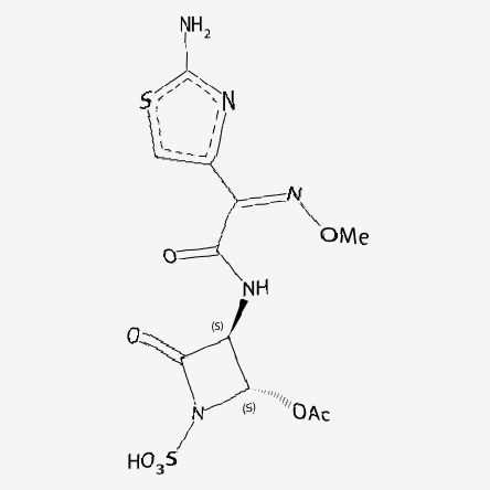 CON=C(C(=O)N[C@@H]1C(=O)N(S(=O)(=O)O)[C@H]1OC(C)=O)c1csc(N)n1